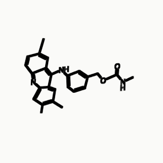 CNC(=O)OCc1cccc(Nc2c3cc(C)ccc3nc3cc(C)c(C)cc23)c1